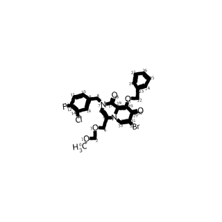 COCOCc1cn(Cc2ccc(F)c(Cl)c2)c(=O)c2c(OCc3ccccc3)c(=O)c(Br)cn12